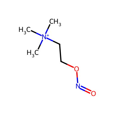 C[N+](C)(C)CCON=O